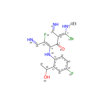 CCN/C(Br)=C(\C=N)C(=O)/C(Nc1ccc(F)cc1C(C)O)=C(\F)C=N